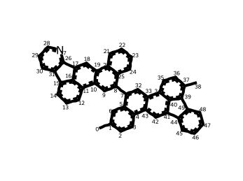 Cc1ccc2c(c1)c(-c1cc3c4cccc5c4c(cc3c3ccccc13)-c1ncccc1-5)cc1c3ccc(C)c4c3c(cc21)-c1ccccc1-4